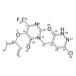 C=C/C(=C\C)Oc1c(C(F)(F)F)ncn(Cc2cc(Cl)n[nH]c2=O)c1=O